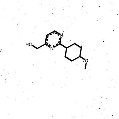 COC1CCC(c2nccc(CO)n2)CC1